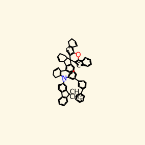 CC1(C)c2ccccc2-c2ccc(N(C3=C(c4cccc5c4C4C=CCCC4C54c5ccc6c(c5Oc5c4ccc4ccccc54)C=CCC6)C=CCC3)c3cccc(-c4cccc(-c5ccccc5)c4)c3)cc21